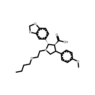 CCCCOCCN1CC(c2ccc(OC)cc2)[C@H](C(=O)O)[C@H]1c1ccc2c(c1)OCO2